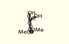 COc1cccc(OC)c1OCCOCCOCCN(CCOCCO)CCOCCO